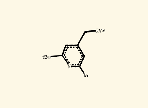 COCc1cc(Br)nc(C(C)(C)C)c1